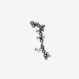 C[C@@H]1CN(CCC2CCN(NC(=O)c3ccc(Nc4ncc(F)c(Nc5ccc(C(=O)Nc6ccccc6Cl)cc5)n4)cc3)CC2)CCN1c1ccc(C2CCC(=O)NC2=O)cc1